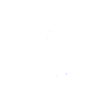 CNc1ccc(-c2ccc(C(=O)C(N)=O)cc2)cc1C=N